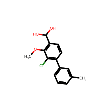 COc1c(C(O)O)ccc(-c2cccc(C)c2)c1Cl